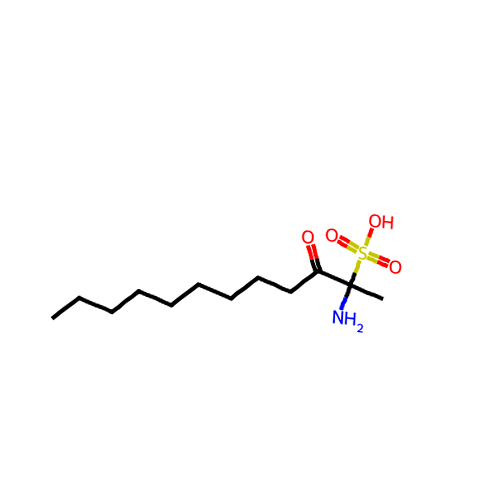 CCCCCCCCCC(=O)C(C)(N)S(=O)(=O)O